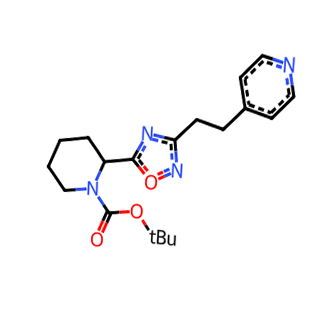 CC(C)(C)OC(=O)N1CCCCC1c1nc(CCc2ccncc2)no1